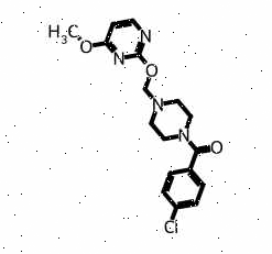 COc1ccnc(OCN2CCN(C(=O)c3ccc(Cl)cc3)CC2)n1